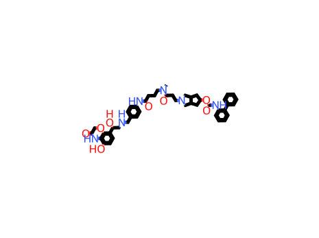 CN(CCCC(=O)Nc1ccc(CNCC(O)c2ccc(O)c3c2OCC(=O)N3)cc1)C(=O)CCN1CC2CC(OC(=O)Nc3ccccc3-c3ccccc3)CC2C1